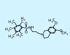 COc1cc2c(cc1OC)CN(CCCNS(=O)(=O)c1c(C)c(C)c(C)c(C)c1C)CC2